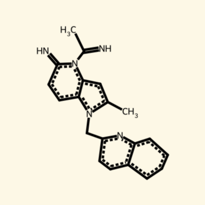 CC(=N)n1c(=N)ccc2c1cc(C)n2Cc1ccc2ccccc2n1